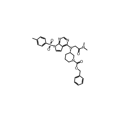 Cc1ccc(S(=O)(=O)n2ccc3c(N(CC(=O)N(C)C)[C@@H]4CCCN(C(=O)OCc5ccccc5)C4)ncnc32)cc1